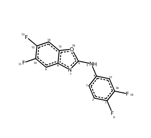 Fc1ccc(Nc2nc3cc(F)c(F)cc3o2)cc1F